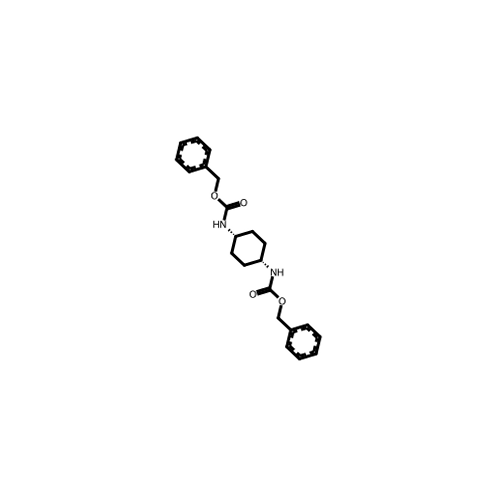 O=C(N[C@H]1CC[C@@H](NC(=O)OCc2ccccc2)CC1)OCc1ccccc1